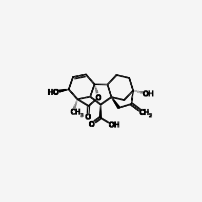 C=C1C[C@]23C[C@@]1(O)CCC2[C@@]12C=C[C@H](O)[C@](C)(C(=O)O1)C2[C@@H]3C(=O)O